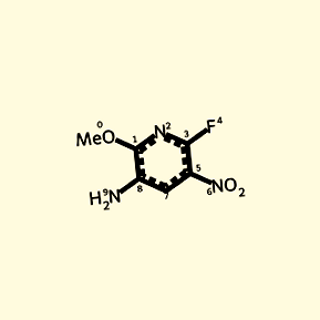 COc1nc(F)c([N+](=O)[O-])cc1N